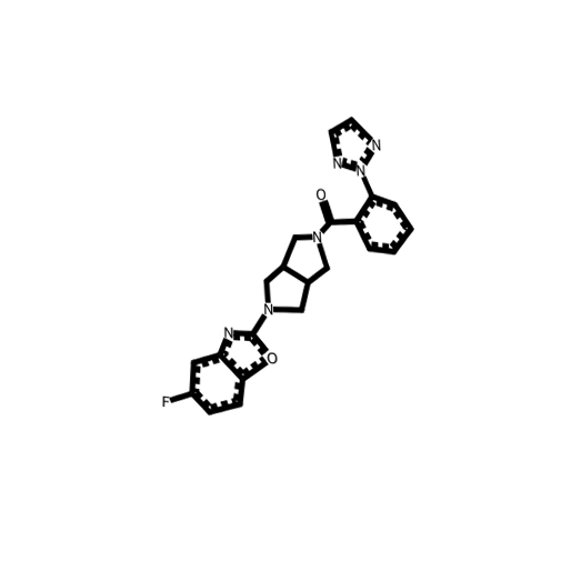 O=C(c1ccccc1-n1nccn1)N1CC2CN(c3nc4cc(F)ccc4o3)CC2C1